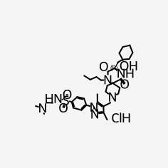 CCCCN1C(=O)[C@@H](CC2(O)CCCCC2)NC(=O)C12CCN(Cc1c(C)nn(-c3ccc(S(=O)(=O)NCCN(C)C)cc3)c1C)CC2.Cl